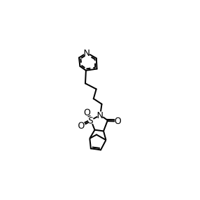 O=C1C2C3C=CC(C3)C2S(=O)(=O)N1CCCCc1ccncc1